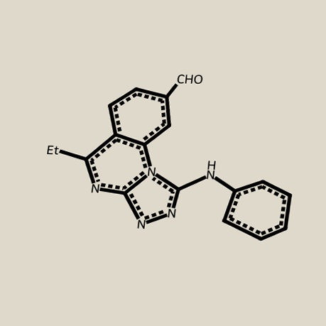 CCc1nc2nnc(Nc3ccccc3)n2c2cc(C=O)ccc12